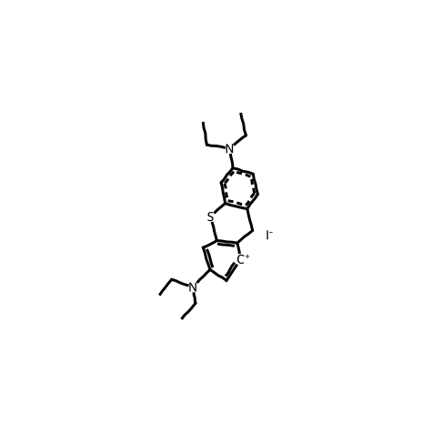 CCN(CC)C1=CC2=C([C+]=C1)Cc1ccc(N(CC)CC)cc1S2.[I-]